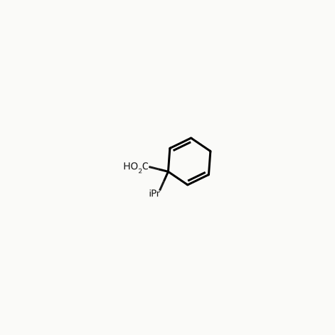 CC(C)C1(C(=O)O)C=CCC=C1